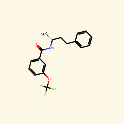 C[C@H](CCc1ccccc1)NC(=O)c1cccc(OC(F)(F)F)c1